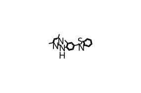 Cc1cc(C)nc(Nc2ccc(-c3nc4ccccc4s3)cc2C)n1